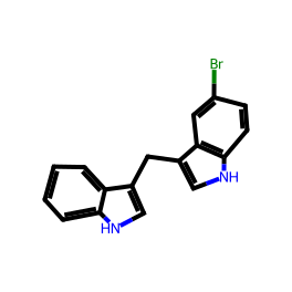 Brc1ccc2[nH]cc(Cc3c[nH]c4ccccc34)c2c1